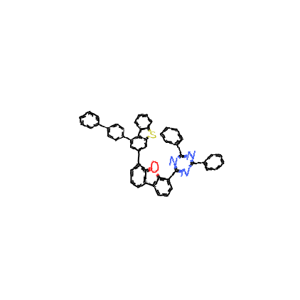 c1ccc(-c2ccc(-c3cc(-c4cccc5c4oc4c(-c6nc(-c7ccccc7)nc(-c7ccccc7)n6)cccc45)cc4sc5ccccc5c34)cc2)cc1